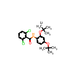 CC(C)(C)Oc1ccc(PC(=O)c2c(Cl)cccc2Cl)c(OC(C)(C)C)c1.[Li]